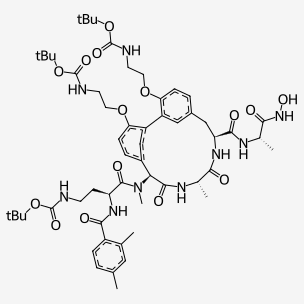 Cc1ccc(C(=O)N[C@@H](CCNC(=O)OC(C)(C)C)C(=O)N(C)[C@@H]2C(=O)N[C@@H](C)C(=O)N[C@H](C(=O)N[C@@H](C)C(=O)NO)Cc3ccc(OCCNC(=O)OC(C)(C)C)c(c3)-c3cc2ccc3OCCNC(=O)OC(C)(C)C)c(C)c1